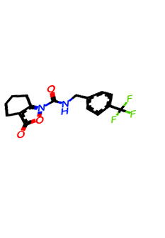 O=C(NCc1ccc(C(F)(F)F)cc1)n1oc(=O)c2c1CCCC2